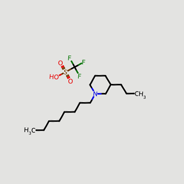 CCCCCCCCN1CCCC(CCC)C1.O=S(=O)(O)C(F)(F)F